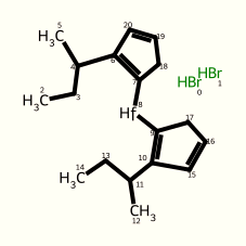 Br.Br.CCC(C)C1=[C]([Hf][C]2=C(C(C)CC)C=CC2)CC=C1